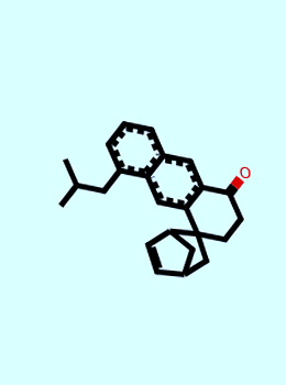 CC(C)Cc1cccc2cc3c(cc12)C1(CCC3=O)CC2C=CC1C2